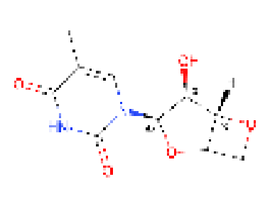 Cc1cn([C@@H]2OC3CO[C@H]3[C@@H]2O)c(=O)[nH]c1=O